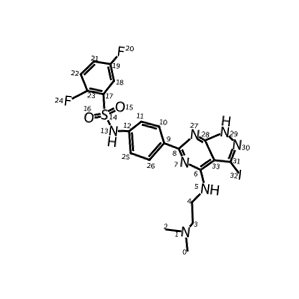 CN(C)CCNc1nc(-c2ccc(NS(=O)(=O)c3cc(F)ccc3F)cc2)nc2[nH]nc(I)c12